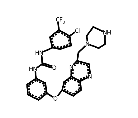 O=C(Nc1cccc(Oc2ccc3ncc(CN4CCNCC4)nc3c2)c1)Nc1ccc(Cl)c(C(F)(F)F)c1